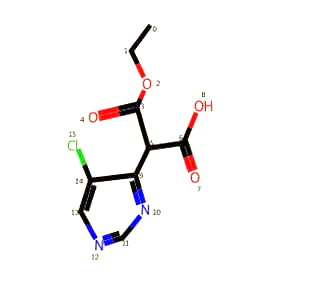 CCOC(=O)C(C(=O)O)c1ncncc1Cl